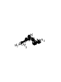 CN(C)CCCOc1cccc(-c2nnc(Nc3ccc(Oc4ncccc4-c4ccnc(N)n4)nc3)c3ccccc23)c1